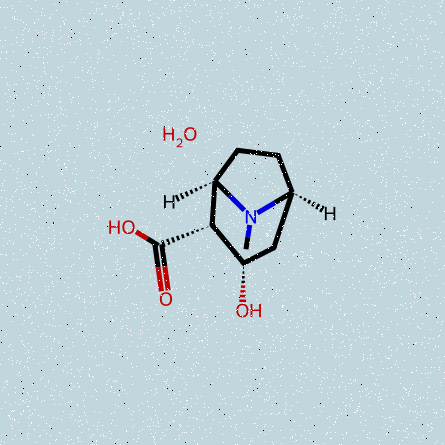 CN1[C@H]2CC[C@@H]1[C@@H](C(=O)O)[C@@H](O)C2.O